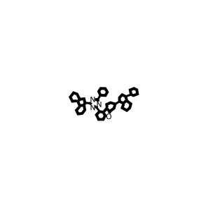 c1ccc(-c2nc(-c3cc4ccccc4c4ccccc34)nc(-c3cccc4oc5cc(-c6ccc(-c7ccccc7)c7ccccc67)ccc5c34)n2)cc1